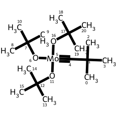 CC(C)(C)[C]#[Mo]([O]C(C)(C)C)([O]C(C)(C)C)[O]C(C)(C)C